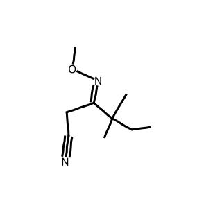 CCC(C)(C)/C(CC#N)=N/OC